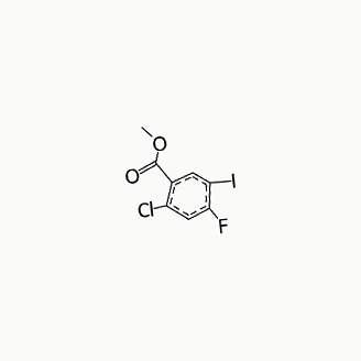 COC(=O)c1cc(I)c(F)cc1Cl